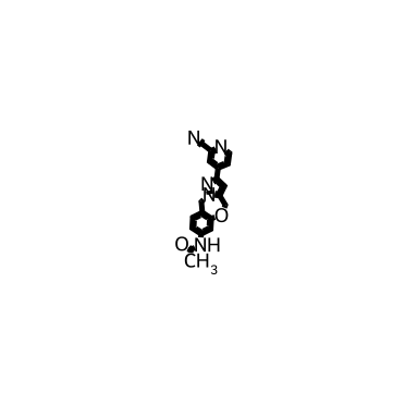 CC(=O)Nc1ccc2c(c1)OCc1cc(-c3ccnc(C#N)c3)nn1C2